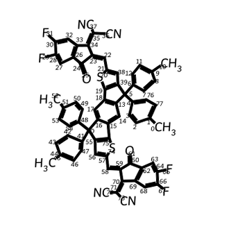 Cc1ccc(C2(c3ccc(C)cc3)c3cc4c(cc3-c3sc(/C=C5\C(=O)c6cc(F)c(F)cc6C5=C(C#N)C#N)cc32)C(c2ccc(C)cc2)(c2ccc(C)cc2)c2cc(/C=C3\C(=O)c5cc(F)c(F)cc5C3=C(C#N)C#N)sc2-4)cc1